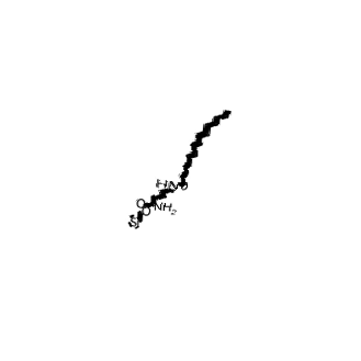 CCCCCCCC=CCCCCCCC(=O)NCCCCC(N)C(=O)OCC[Si](C)(C)C